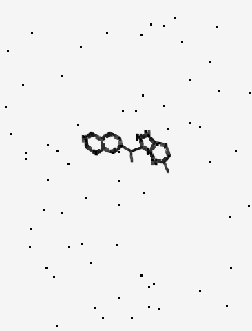 Cc1ccc2nnc(C(C)c3ccc4cnccc4c3)n2n1